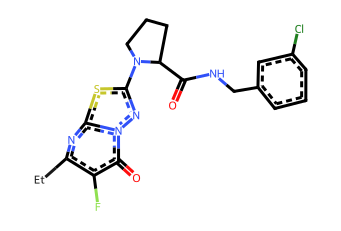 CCc1nc2sc(N3CCCC3C(=O)NCc3cccc(Cl)c3)nn2c(=O)c1F